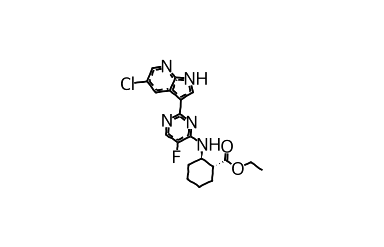 CCOC(=O)[C@@H]1CCCC[C@H]1Nc1nc(-c2c[nH]c3ncc(Cl)cc23)ncc1F